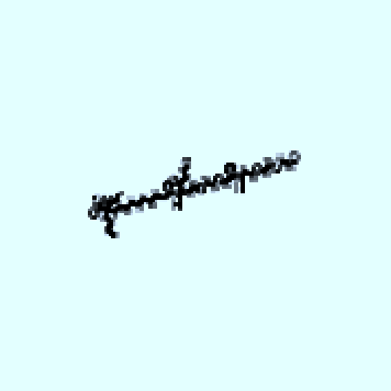 CCCC[C@@](CCC)(CCCCCCCCCC(=O)NN(CCOCCOCC(=O)NCCOCCOC[C]=O)C(=O)CCC)C(=O)O